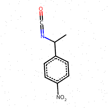 CC(N=C=O)c1ccc([N+](=O)[O-])cc1